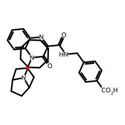 O=C(O)c1ccc(CNC(=O)c2nc3ccccc3n(C3CC4CCC(C3)N4C3CCCCCCC3)c2=O)cc1